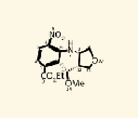 CCOC(=O)c1ccc([N+](=O)[O-])c(N[C@@H]2COC[C@@H]2COC)c1